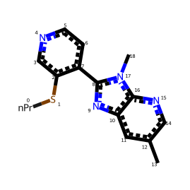 CCCSc1cnccc1-c1nc2cc(C)cnc2n1C